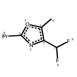 Cc1oc(C(C)C)nc1C(F)F